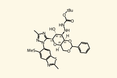 CSc1cc2nc(C)sc2cc1-n1nc(C)nc1[C@@H]1O[C@@H]2COC(c3ccccc3)O[C@@H]2[C@H](NNC(=O)OC(C)(C)C)[C@H]1O